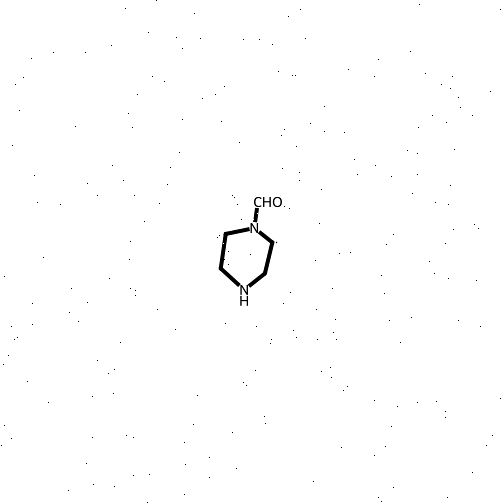 O=CN1[CH]CNCC1